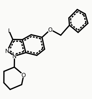 Ic1nn(C2CCCCO2)c2ccc(OCc3ccccc3)cc12